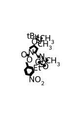 CCS(=O)(=O)N(C)N=C[C@@H]1C[C@@H](O[Si](C)(C)C(C)(C)C)CN1C(=O)OCc1ccc([N+](=O)[O-])cc1